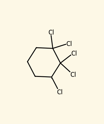 Cl[C]1CCCC(Cl)(Cl)C1(Cl)Cl